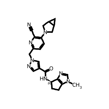 Cn1cnc2c1CC[C@H]2NC(=O)c1cnn(Cc2ccc(N3CC4CC4C3)c(C#N)n2)c1